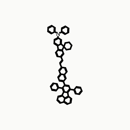 C(=C\c1ccc2cc(-c3cc(-c4ccccc4)c4c(c3-c3ccccc3)-c3cccc5cccc-4c35)ccc2c1)/c1ccc2c(c1)C1(CCCCC1)c1cc(N(c3ccccc3)c3ccccc3)ccc1-2